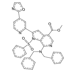 COC(=O)c1cnc(N(Cc2ccccc2)Cc2ccccc2)c2c1cc(-c1cc(-c3ncco3)ccn1)n2S(=O)(=O)c1ccccc1